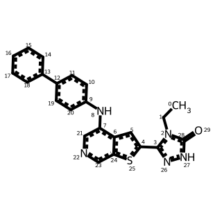 CCn1c(-c2cc3c(Nc4ccc(-c5ccccc5)cc4)cncc3s2)n[nH]c1=O